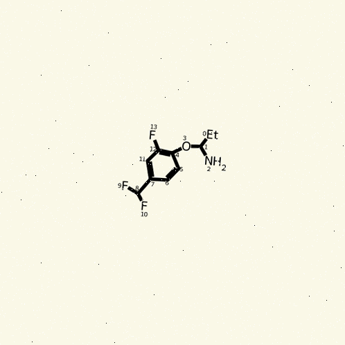 CCC(N)Oc1ccc(C(F)F)cc1F